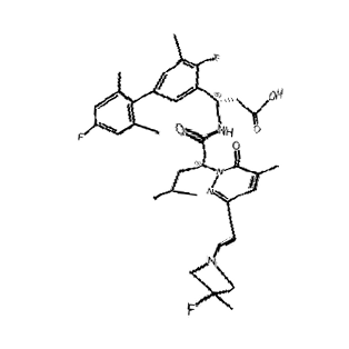 Cc1cc(-c2c(C)cc(F)cc2C)cc([C@H](CC(=O)O)NC(=O)[C@H](CC(C)C)n2nc(CCN3CC(C)(F)C3)cc(C)c2=O)c1F